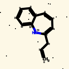 C=CCC1=CC=Cc2ccccc2N1